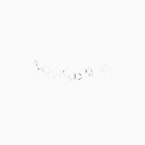 C[C@H]1CN(C(=O)C23CC(C2)C3)CCN1[C@H]1C[C@@H](C(=O)Nc2nc3ccc(-c4cnc(CO[C@H]5CCC[C@@H]5O)nc4)cc3s2)C1